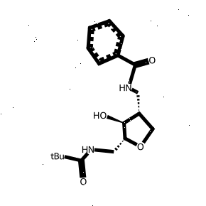 CC(C)(C)C(=O)NC[C@H]1OC[C@@H](CNC(=O)c2ccccc2)[C@@H]1O